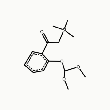 COC(OC)Oc1ccccc1C(=O)C[Si](C)(C)C